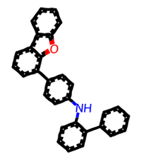 c1ccc(-c2ccccc2Nc2ccc(-c3cccc4c3oc3ccccc34)cc2)cc1